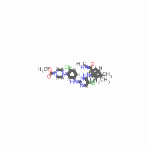 CNC(=O)[C@H]1C[C@H]2C[C@H](C2(C)C)[C@@]1(C)Nc1nc(Nc2ccc(Cl)c(N3CCN(C(=O)OC)CC3)c2)ncc1Cl